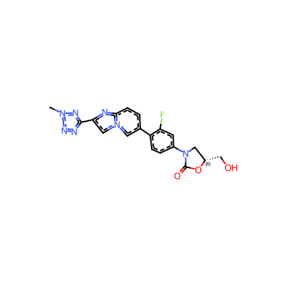 Cn1nnc(-c2cn3cc(-c4ccc(N5C[C@H](CO)OC5=O)cc4F)ccc3n2)n1